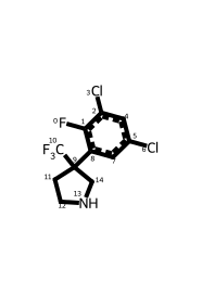 Fc1c(Cl)cc(Cl)cc1C1(C(F)(F)F)CCNC1